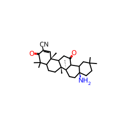 CC1(C)CC[C@]2(N)CC[C@]3(C)C(C(=O)CC4[C@@]5(C)C=C(C#N)C(=O)C(C)(C)C5CC[C@]43C)C2C1